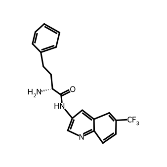 N[C@H](CCc1ccccc1)C(=O)Nc1cnc2ccc(C(F)(F)F)cc2c1